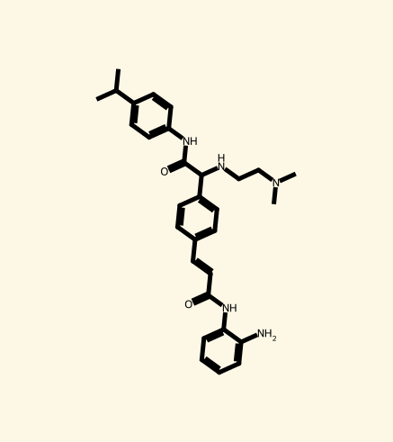 CC(C)c1ccc(NC(=O)C(NCCN(C)C)c2ccc(/C=C/C(=O)Nc3ccccc3N)cc2)cc1